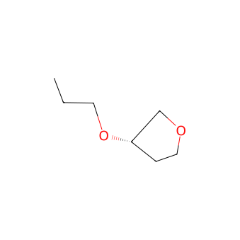 CCCO[C@H]1CCOC1